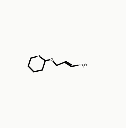 CCOC(=O)C=CCOC1CCCCO1